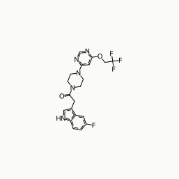 O=C(Cc1c[nH]c2ccc(F)cc12)N1CCN(c2cc(OCC(F)(F)F)ncn2)CC1